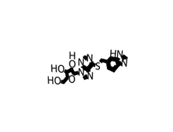 OCC1OC(n2cnc3c(SCc4ccc5nc[nH]c5c4)ncnc32)C(O)C1O